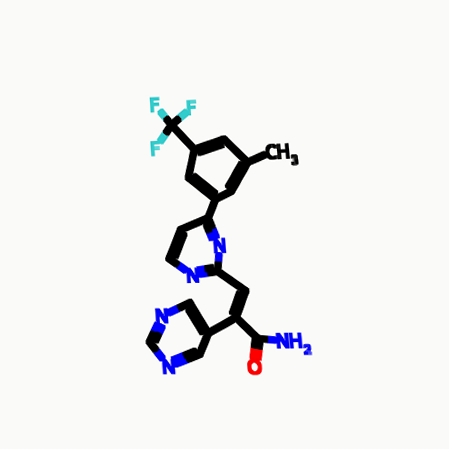 Cc1cc(-c2ccnc(/C=C(/C(N)=O)c3cncnc3)n2)cc(C(F)(F)F)c1